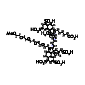 COCCOCCOCCOCCOCC[N+]1=C(/C=C/C=C/C=C2/N(CCCCCC(=O)O)c3ccc4c(S(=O)(=O)O)cc(S(=O)(=O)O)cc4c3C2(C)C)C(C)(CCCS(=O)(=O)O)c2c1ccc1c(S(=O)(=O)O)cc(S(=O)(=O)O)cc21